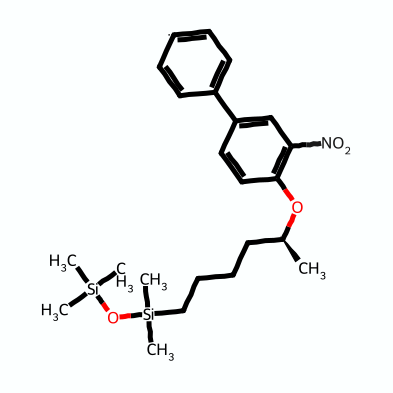 C[C@@H](CCCC[Si](C)(C)O[Si](C)(C)C)Oc1ccc(-c2cc[c]cc2)cc1[N+](=O)[O-]